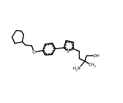 CC(N)(CO)CCc1ccc(-c2ccc(OCCC3CCCCC3)cc2)s1